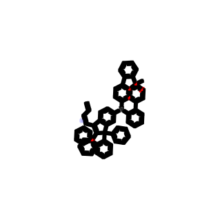 C=C/C=C\C1=C(c2ccccc2)C(c2ccccc2)(c2ccccc2-c2ccccc2)c2cc(N(c3ccc4c(c3)C(C)(C)c3ccccc3-4)c3ccccc3-c3ccccc3)ccc21